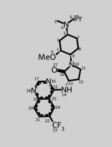 CO[C@H]1C[C@@H](N(C)C(C)C)CC[C@H]1N1CC[C@H](Nc2ncnc3ccc(C(F)(F)F)cc23)C1=O